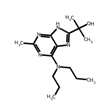 CCCN(CCC)c1nc(C)nc2[nH]c(C(C)(C)O)nc12